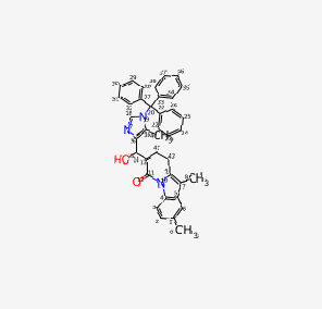 Cc1ccc2c(c1)c(C)c1n2C(=O)C(C(O)c2ncn(C(c3ccccc3)(c3ccccc3)c3ccccc3)c2C)CC1